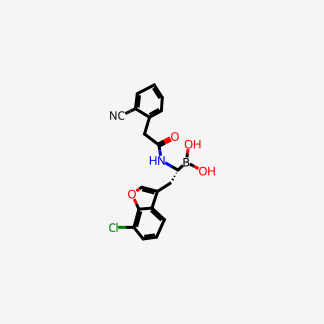 N#Cc1ccccc1CC(=O)N[C@@H](Cc1coc2c(Cl)cccc12)B(O)O